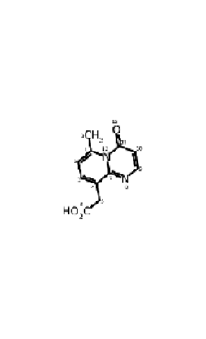 Cc1ccc(CC(=O)O)c2nccc(=O)n12